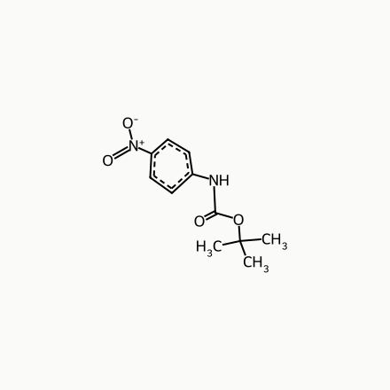 CC(C)(C)OC(=O)Nc1ccc([N+](=O)[O-])cc1